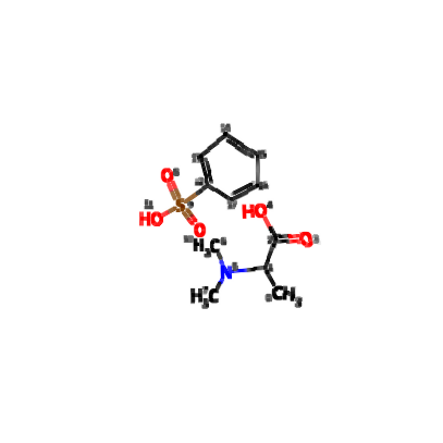 CC(C(=O)O)N(C)C.O=S(=O)(O)c1ccccc1